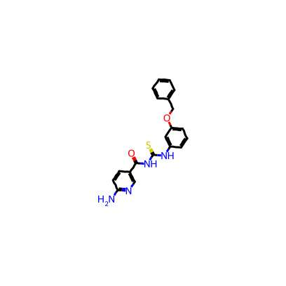 Nc1ccc(C(=O)NC(=S)Nc2cccc(OCc3ccccc3)c2)cn1